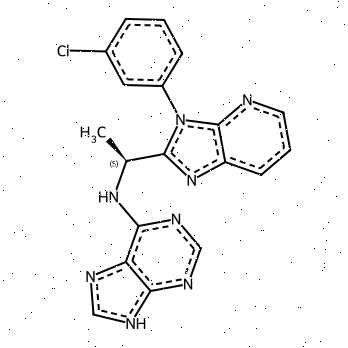 C[C@H](Nc1ncnc2[nH]cnc12)c1nc2cccnc2n1-c1cccc(Cl)c1